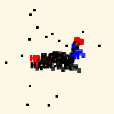 C=C(C)[C@@H]1CC[C@]2(NCC(N)CN3CCS(=O)(=O)CC3)CC[C@]3(C)[C@H](CC[C@@H]4[C@@]5(C)CC[C@H](OC(=O)[C@H]6C[C@@H](C(=O)O)C6(C)C)C(C)(C)[C@@H]5CC[C@]43C)[C@@H]12